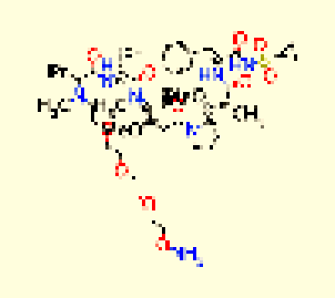 CC[C@H](C)[C@@H]([C@@H](CC(=O)N1CCC[C@H]1[C@H](OC)[C@@H](C)C(=O)N[C@@H](Cc1ccccc1)C(=O)NS(=O)(=O)C1CC1)OC)N(C)C(=O)[C@@H](NC(=O)C(C(C)C)N(C)CCOCCOCCOCCON)C(C)C